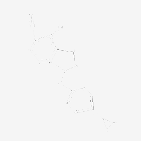 N#Cc1ccc2c(c1Br)CCC2Oc1ccc(C2CC2)cc1